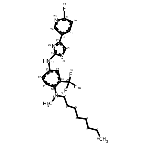 CCCCCCCCN(C)c1ccc(Nc2nc(-c3ccc(F)nc3)cs2)cc1C(F)(F)F